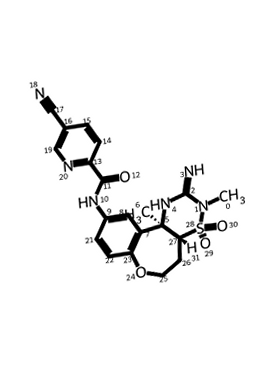 CN1C(=N)N[C@]2(C)c3cc(NC(=O)c4ccc(C#N)cn4)ccc3OCC[C@H]2S1(=O)=O